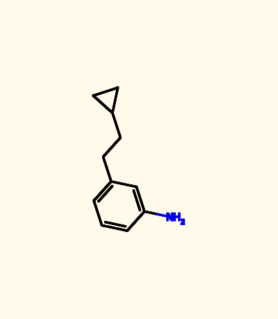 Nc1cccc(CCC2CC2)c1